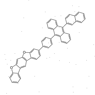 c1ccc2cc(-c3c4ccccc4c(-c4ccc(-c5ccc6c(c5)oc5cc7oc8ccccc8c7cc56)cc4)c4ccccc34)ccc2c1